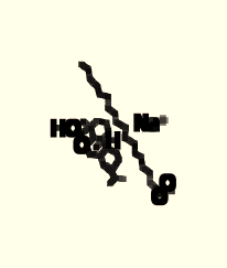 CC(C)C1=CC2=CCC3[C@](C)(C(=O)O)CCC[C@]3(C)[C@H]2CC1.CCCCCCCCCCCCCCCCCC(=O)[O-].[Na+]